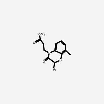 COC(=O)CCN1C(=O)C(C(C)C)Oc2c(C)cccc21